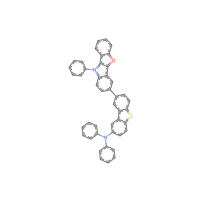 c1ccc(N(c2ccccc2)c2ccc3sc4ccc(-c5ccc6c(c5)c5oc7ccccc7c5n6-c5ccccc5)cc4c3c2)cc1